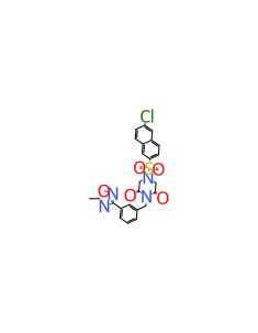 Cc1nc(-c2cccc(CN3C(=O)CN(S(=O)(=O)c4ccc5cc(Cl)ccc5c4)CC3=O)c2)no1